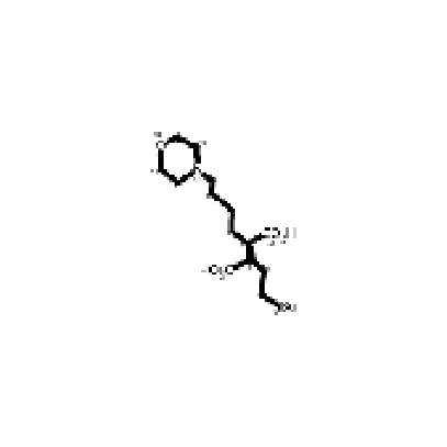 CCC(C)CC/C(C(=O)O)=C(/CCCCN1CCOCC1)C(=O)O